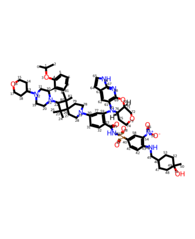 CC(C)Oc1ccccc1[C@@H]1CN(C2CCOCC2)CCN1C1C(C)(C)C2(CCN(c3ccc(C(=O)NS(=O)(=O)c4ccc(NCC5CCC(C)(O)CC5)c([N+](=O)[O-])c4)c(N4c5cc6cc[nH]c6nc5O[C@H]5COCC[C@@H]54)c3)CC2)C1(C)C